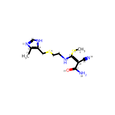 CS/C(NCCSCc1[nH]cnc1C)=C(\C#N)C(N)=O